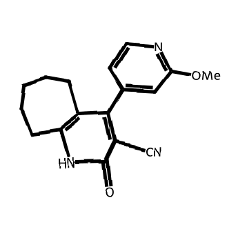 COc1cc(-c2c3c([nH]c(=O)c2C#N)CCCCC3)ccn1